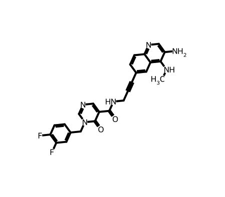 CNc1c(N)cnc2ccc(C#CCNC(=O)c3cncn(Cc4ccc(F)c(F)c4)c3=O)cc12